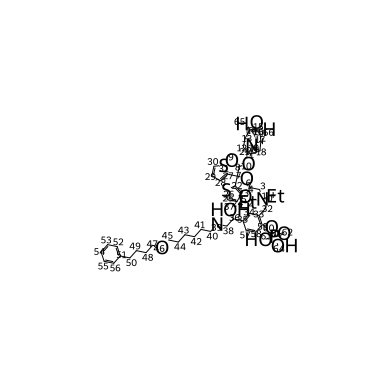 CC[N+](CC)(CC(=O)OC(C(=O)OC1CC2[C@H]3O[C@H]3C(C1)[N+]2(C)C)(c1cccs1)c1cccs1)Cc1cc(C(O)CNCCCCCCOCCCCc2ccccc2)ccc1OP(=O)(O)O